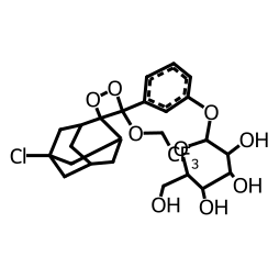 OCC1OC(Oc2cccc(C3(OCC(F)(F)F)OOC34C3CC5CC4CC(Cl)(C5)C3)c2)C(O)C(O)C1O